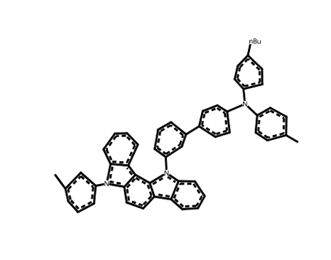 CCCCc1ccc(N(c2ccc(C)cc2)c2ccc(-c3cccc(-n4c5ccccc5c5ccc6c(c7ccccc7n6-c6cccc(C)c6)c54)c3)cc2)cc1